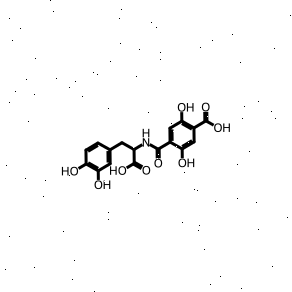 O=C(O)c1cc(O)c(C(=O)NC(Cc2ccc(O)c(O)c2)C(=O)O)cc1O